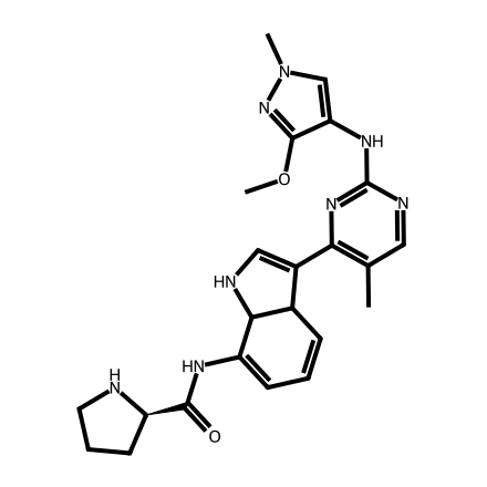 COc1nn(C)cc1Nc1ncc(C)c(C2=CNC3C(NC(=O)[C@H]4CCCN4)=CC=CC23)n1